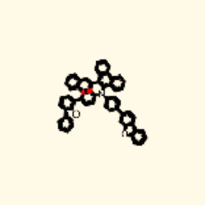 c1ccc2cc(-c3c(N(c4ccc(-c5ccc6c(c5)oc5ccccc56)cc4)c4ccc(-c5cccc6c5oc5ccccc56)cc4)c4ccccc4c4ccccc34)ccc2c1